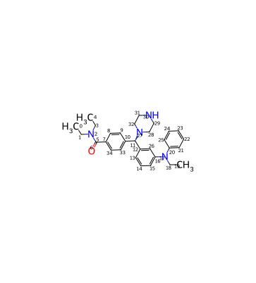 CCN(CC)C(=O)c1ccc([C@H](c2cccc(N(CC)c3ccccc3)c2)N2CCNCC2)cc1